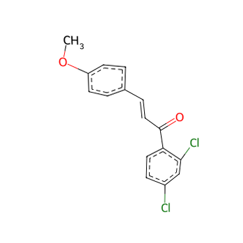 COc1ccc(C=CC(=O)c2ccc(Cl)cc2Cl)cc1